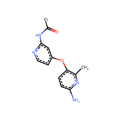 CCC(=O)Nc1cc(Oc2ccc(N)nc2C)ccn1